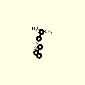 Cc1cc(C)cc(-c2ccc(Nc3cccc4c3sc3ccc5ccccc5c34)cc2)c1